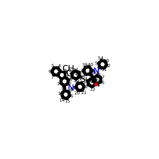 CC1(C)c2ccccc2-c2cc3c4ccccc4n(-c4cccc([Si](c5ccccc5)(c5ccccc5)c5cccc6c5c5ccccc5n6-c5ccccc5)c4)c3cc21